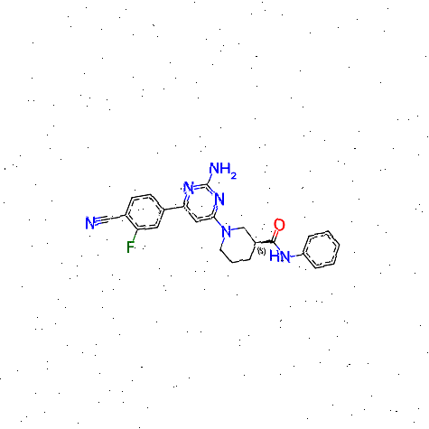 N#Cc1ccc(-c2cc(N3CCC[C@H](C(=O)Nc4ccccc4)C3)nc(N)n2)cc1F